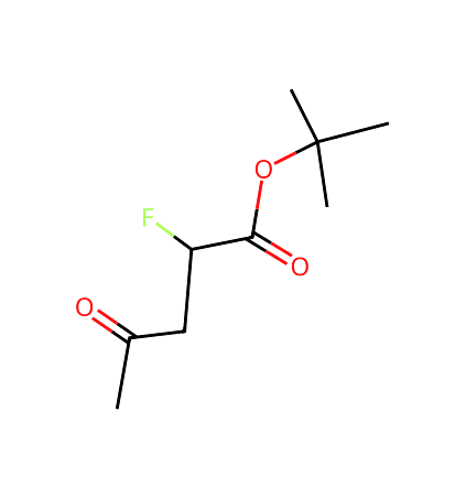 CC(=O)CC(F)C(=O)OC(C)(C)C